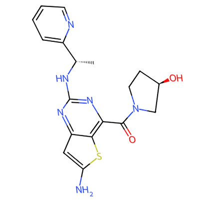 C[C@H](Nc1nc(C(=O)N2CC[C@@H](O)C2)c2sc(N)cc2n1)c1ccccn1